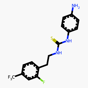 Nc1ccc(NC(=S)NCCc2ccc(C(F)(F)F)cc2F)cc1